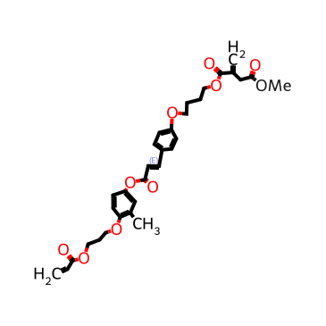 C=CC(=O)OCCCOc1ccc(OC(=O)/C=C/c2ccc(OCCCCOC(=O)C(=C)CC(=O)OC)cc2)cc1C